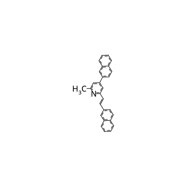 Cc1cc(-c2ccc3ccccc3c2)cc(/C=C/c2ccc3ccccc3c2)n1